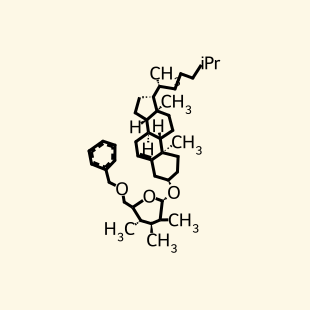 CC(C)CCC[C@@H](C)[C@H]1CC[C@H]2[C@@H]3CC=C4C[C@@H](O[C@H]5OC(COCc6ccccc6)[C@@H](C)[C@H](C)C5C)CC[C@]4(C)[C@H]3CC[C@]12C